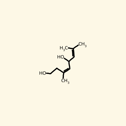 CC(C)=CC(O)C=C(C)CCO